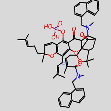 CC(C)=CCCC1(C)C=Cc2c(c(CC=C(C)C)c3c(c2OP(=O)(O)O)C(=O)C2C(N(C)Cc4cccc5ccccc45)C4CC5C(C)(C)OC(C/C=C(/C)C(=O)N(C)Cc6cccc7ccccc67)(C4=O)C25O3)O1